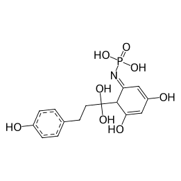 O=P(O)(O)N=C1C=C(O)C=C(O)C1C(O)(O)CCc1ccc(O)cc1